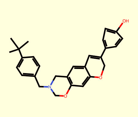 CC(C)(C)c1ccc(CN2COc3cc4c(cc3C2)C=C(c2ccc(O)cc2)CO4)cc1